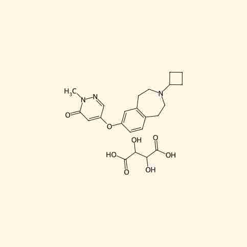 Cn1ncc(Oc2ccc3c(c2)CCN(C2CCC2)CC3)cc1=O.O=C(O)C(O)C(O)C(=O)O